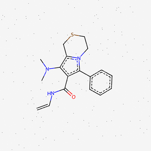 C=CNC(=O)c1c(N(C)C)c2n(c1-c1ccccc1)CCSC2